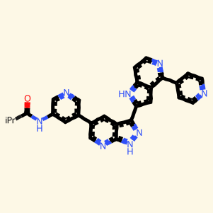 CC(C)C(=O)Nc1cncc(-c2cnc3[nH]nc(-c4cc5c(-c6ccncc6)nccc5[nH]4)c3c2)c1